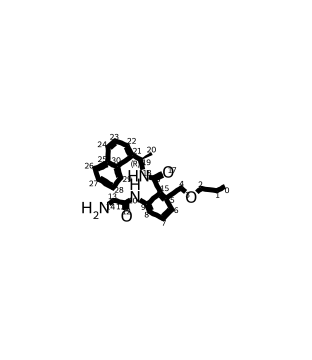 CCCOCc1cccc(NC(=O)CN)c1C(=O)N[C@H](C)c1cccc2ccccc12